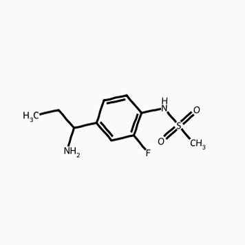 CCC(N)c1ccc(NS(C)(=O)=O)c(F)c1